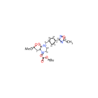 COC(=O)CC1C(=O)N(Cc2ccc(-c3noc(C)n3)cc2)CCN1OC(=O)OC(C)(C)C